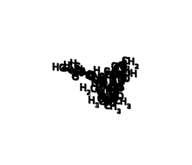 C=CCOC(=O)NC(C(=O)NC(C)C(=O)Nc1ccc(COC(=O)N2c3cc(OCCCC(=O)Nc4cc(C(=O)Nc5ccc(-c6cc(C(=O)NCCCO)n(C)c6)cc5)n(C)c4)c(OC)cc3C(=O)N3CC(=C)C[C@H]3[C@@H]2O)cc1)C(C)C